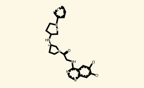 O=C(CNc1ncnc2cc(Cl)c(Cl)cc12)N1CC[C@@H](NC2CCN(c3ccccc3)CC2)C1